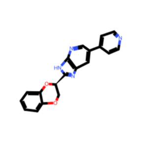 c1ccc2c(c1)OC[C@H](c1nc3cc(-c4ccncc4)cnc3[nH]1)O2